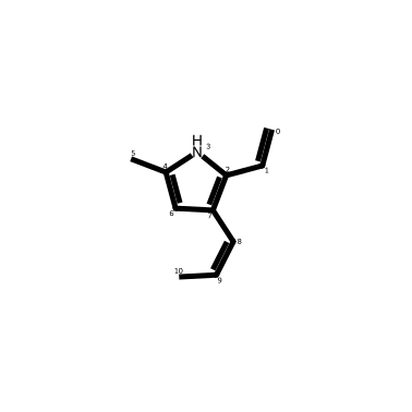 C=Cc1[nH]c(C)cc1/C=C\C